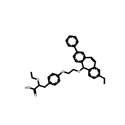 CCOC(Cc1ccc(OCCOC2c3ccc(CC)cc3C=Cc3cc(-c4ccccc4)ccc32)cc1)C(=O)O